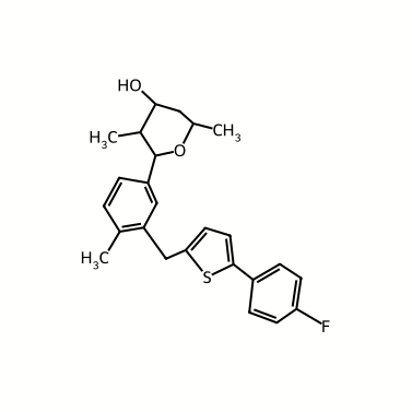 Cc1ccc(C2OC(C)CC(O)C2C)cc1Cc1ccc(-c2ccc(F)cc2)s1